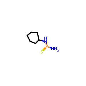 N[PH](=S)NC1CCCCC1